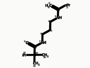 C=C(CCC)NCCCNC(=O)C(C)(C)C(C)C